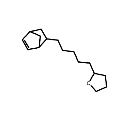 C1=CC2CC1CC2CCCCCC1CCCO1